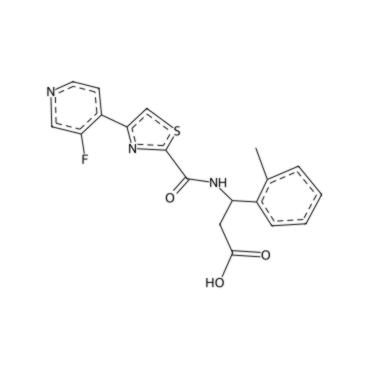 Cc1ccccc1C(CC(=O)O)NC(=O)c1nc(-c2ccncc2F)cs1